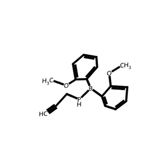 C#CCPB(c1ccccc1OC)c1ccccc1OC